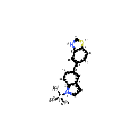 CC(C)[Si](C(C)C)(C(C)C)n1ccc2cc(-c3ccc4scnc4c3)ccc21